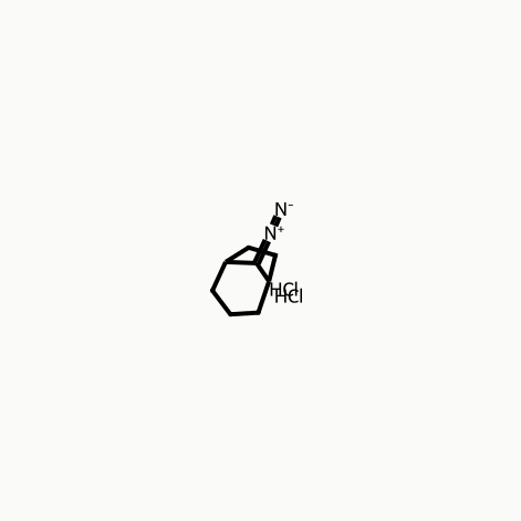 Cl.Cl.[N-]=[N+]=C1C2CCCC1CC2